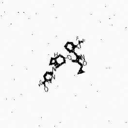 COC(=O)c1ccc(N2C3C[C@@H](OCc4c(-c5ccccc5OC(F)F)noc4C4CC4)C[C@@H]4CCC342)nn1